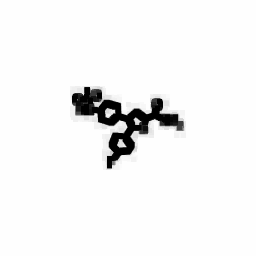 CS(=O)(=O)Nc1ccc(-c2cc(C(N)=O)sc2-c2ccc(F)cc2)cc1